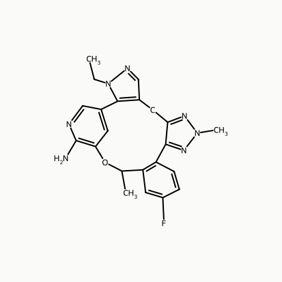 CCn1ncc2c1-c1cnc(N)c(c1)OC(C)c1cc(F)ccc1-c1nn(C)nc1C2